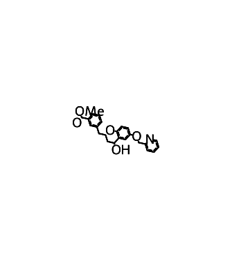 COC(=O)c1cccc(CC2CC(O)c3cc(OCc4ccccn4)ccc3O2)c1